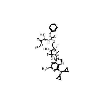 CC(C)OC(=O)[C@H](C)N[P@@](=O)(OC[C@@]1(F)O[C@@H](n2cnc3c(N(C4CC4)C4CC4)nc(N)nc32)[C@](C)(F)[C@@H]1O)Oc1ccccc1